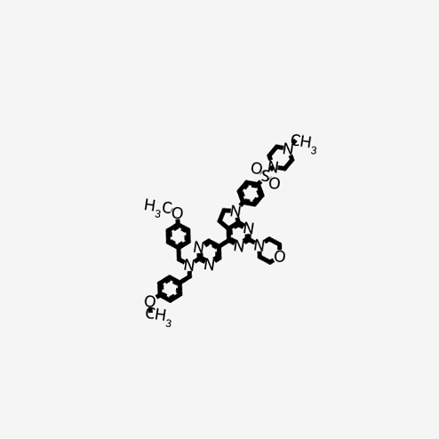 COc1ccc(CN(Cc2ccc(OC)cc2)c2ncc(-c3nc(N4CCOCC4)nc4c3CCN4c3ccc(S(=O)(=O)N4CCN(C)CC4)cc3)cn2)cc1